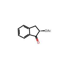 CC(=O)O[C@@H]1Cc2ccccc2C1=O